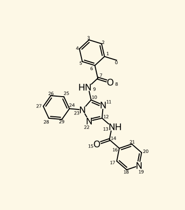 Cc1ccccc1C(=O)Nc1nc(NC(=O)c2ccncc2)nn1-c1ccccc1